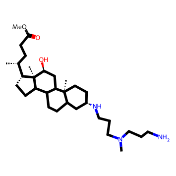 COC(=O)CC[C@@H](C)[C@H]1CCC2C3CCC4C[C@@H](NCCCN(C)CCCN)CC[C@]4(C)C3C[C@H](O)[C@@]21C